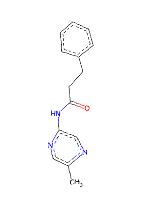 Cc1cnc(NC(=O)CCc2ccccc2)cn1